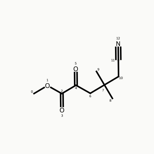 COC(=O)C(=O)CC(C)(C)CC#N